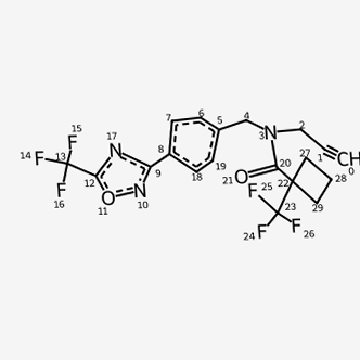 C#CCN(Cc1ccc(-c2noc(C(F)(F)F)n2)cc1)C(=O)C1(C(F)(F)F)CCC1